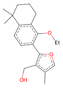 CCOc1c(-c2occ(C)c2CO)ccc2c1CCCC2(C)C